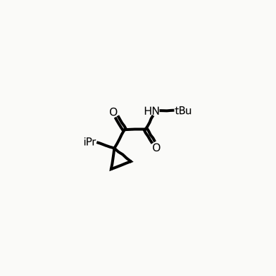 CC(C)C1(C(=O)C(=O)NC(C)(C)C)CC1